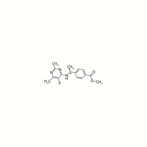 COC(=O)c1ccc([C@H](C)Nc2nc(C)nc(C)c2F)cc1